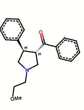 COCCN1C[C@@H](C(=O)c2[c]cccc2)[C@H](c2ccccc2)C1